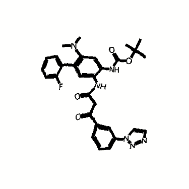 CN(C)c1cc(NC(=O)OC(C)(C)C)c(NC(=O)CC(=O)c2cccc(-n3ccnn3)c2)cc1-c1ccccc1F